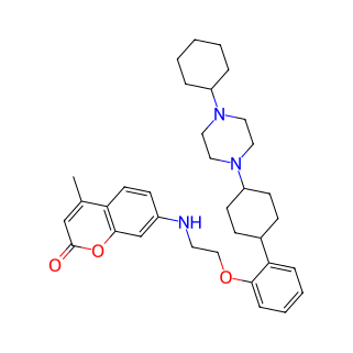 Cc1cc(=O)oc2cc(NCCOc3ccccc3C3CCC(N4CCN(C5CCCCC5)CC4)CC3)ccc12